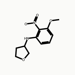 COc1cccc(NC2CCOC2)c1[N+](=O)[O-]